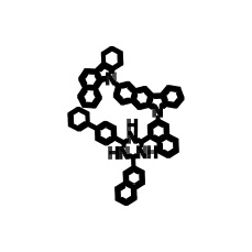 C1=CCCC(c2ccc(C3NC(c4ccc5ccccc5c4)NC(c4cc(-n5c6ccccc6c6cc7cc(-n8c9c(c%10ccc%11ccccc%11c%108)CCC=C9)ccc7cc65)cc5ccccc45)N3)cc2)=C1